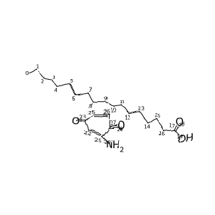 CCCCCCCCCCCCCCCCCC(=O)O.NC1=CC(=O)C=CC1=O